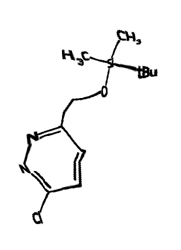 CC(C)(C)[Si](C)(C)OCc1ccc(Cl)nn1